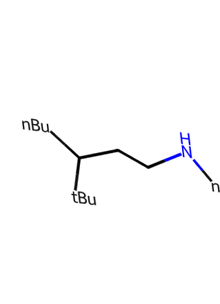 CCCCC(CCNCCC)C(C)(C)C